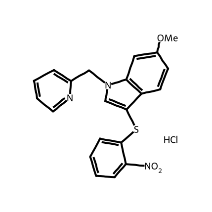 COc1ccc2c(Sc3ccccc3[N+](=O)[O-])cn(Cc3ccccn3)c2c1.Cl